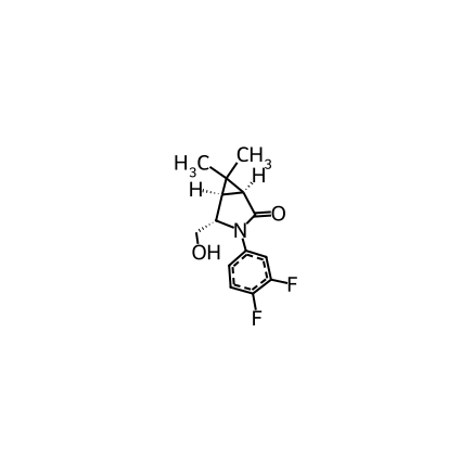 CC1(C)[C@@H]2[C@@H](CO)N(c3ccc(F)c(F)c3)C(=O)[C@@H]21